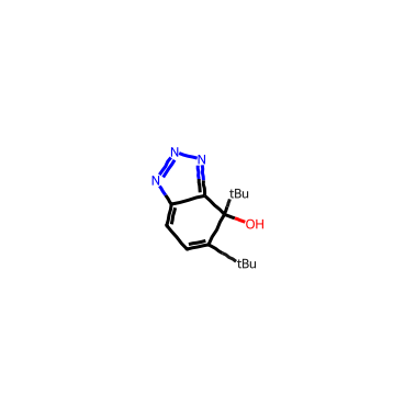 CC(C)(C)C1=CC=C2N=NN=C2C1(O)C(C)(C)C